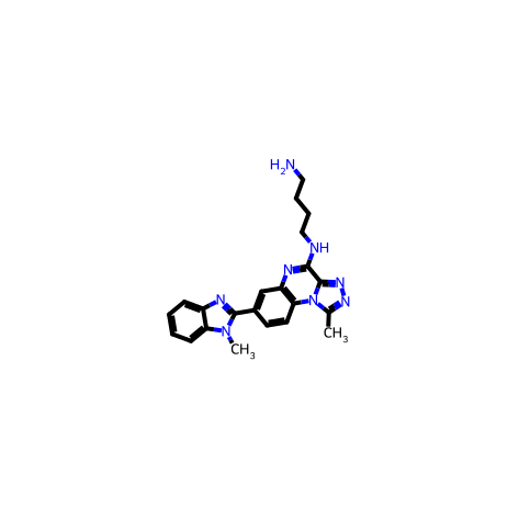 Cc1nnc2c(NCCCCN)nc3cc(-c4nc5ccccc5n4C)ccc3n12